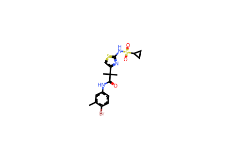 Cc1cc(NC(=O)C(C)(C)c2csc(NS(=O)(=O)C3CC3)n2)ccc1Br